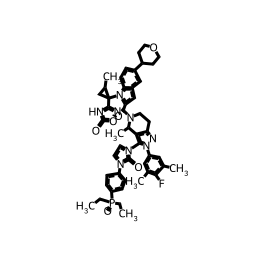 CCP(=O)(CC)c1ccc(-n2ccn(-c3c4c(nn3-c3cc(C)c(F)c(C)c3)CCN(C(=O)c3cc5cc(C6CCOCC6)ccc5n3C3(c5noc(=O)[nH]5)CC3C)C4C)c2=O)cc1